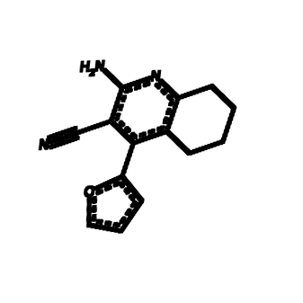 N#Cc1c(N)nc2c(c1-c1ccco1)CCCC2